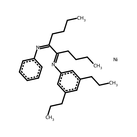 CCCCC(=Nc1ccccc1)C(CCCC)=Nc1cc(CCC)cc(CCC)c1.[Ni]